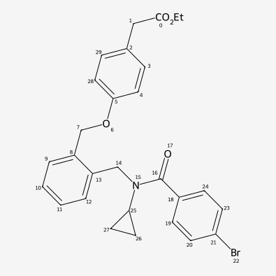 CCOC(=O)Cc1ccc(OCc2ccccc2CN(C(=O)c2ccc(Br)cc2)C2CC2)cc1